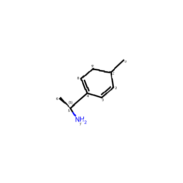 CC1C=CC([C@H](C)N)=CC1